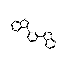 [c]1ccc(-c2csc3ccccc23)cc1-c1csc2ccccc12